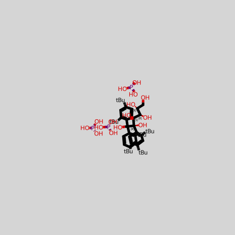 CC(C)(C)c1ccc(C(O)(c2ccc(C(C)(C)C)cc2C(C)(C)C)[C@@](O)(c2ccc(C(C)(C)C)cc2C(C)(C)C)[C@@H](O)[C@H](O)[C@H](O)CO)c(C(C)(C)C)c1.OP(O)O.OP(O)O.OP(O)O